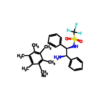 Cc1c(C)c(C)c(C)c(C)c1C.N[C@H](c1ccccc1)[C@H](NS(=O)(=O)C(F)(F)F)c1ccccc1.[Ru]